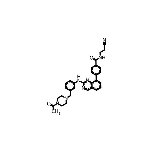 CC(=O)N1CCN(Cc2cccc(Nc3ncc4cccc(-c5ccc(C(=O)NCCC#N)cc5)c4n3)c2)CC1